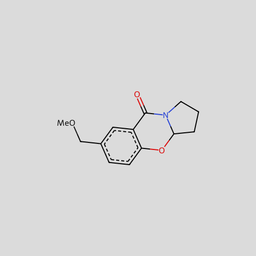 COCc1ccc2c(c1)C(=O)N1CCCC1O2